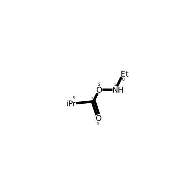 CCNOC(=O)C(C)C